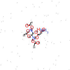 CC(=O)ON(CCN(OC(C)=O)OC(C)=O)OC(C)=O.N.O